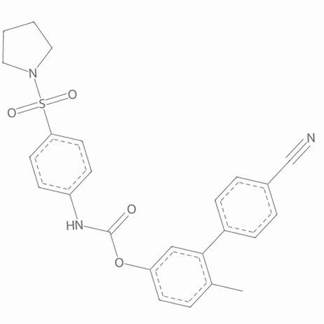 Cc1ccc(OC(=O)Nc2ccc(S(=O)(=O)N3CCCC3)cc2)cc1-c1ccc(C#N)cc1